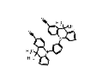 CC1(C)c2ccccc2N(c2cccc(N3c4ccccc4C(C)(C)c4cc(C#N)ccc43)c2)c2ccc(C#N)cc21